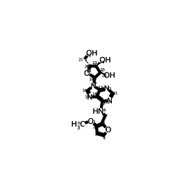 COc1ccoc1CNc1ncnc2c1ncn2C1O[C@H](CO)[C@@H](O)[C@@H]1O